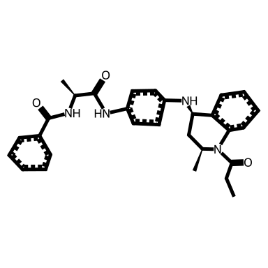 CCC(=O)N1c2ccccc2[C@H](Nc2ccc(NC(=O)[C@H](C)NC(=O)c3ccccc3)cc2)C[C@@H]1C